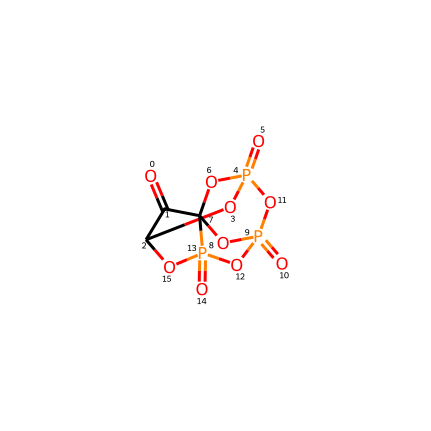 O=C1C2OP3(=O)OC14OP(=O)(O3)OP4(=O)O2